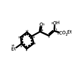 CCOC(=O)C(O)=CC(=O)c1ccc(CC)cc1